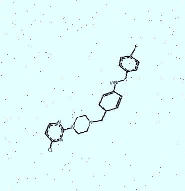 Fc1ccc(SNC2=CCC(CN3CCN(c4nccc(Cl)n4)CC3)C=C2)cc1